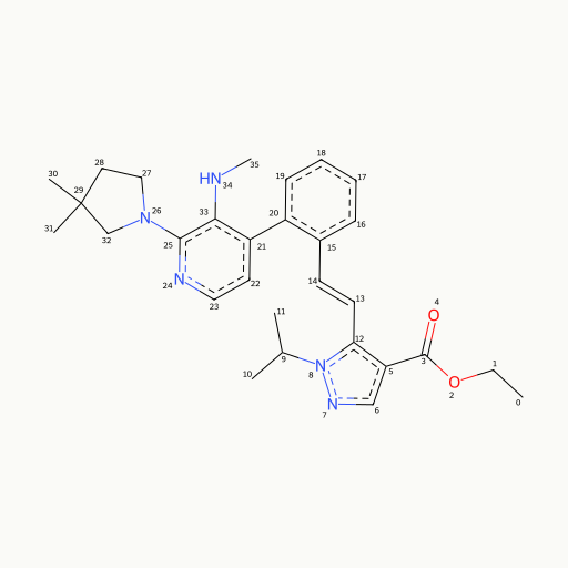 CCOC(=O)c1cnn(C(C)C)c1/C=C/c1ccccc1-c1ccnc(N2CCC(C)(C)C2)c1NC